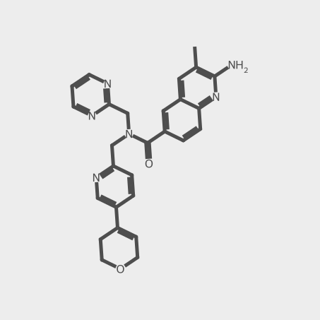 Cc1cc2cc(C(=O)N(Cc3ccc(C4=CCOCC4)cn3)Cc3ncccn3)ccc2nc1N